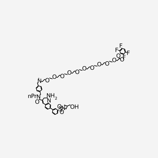 CCCN(Cc1ccc(CN(C)CCOCCOCCOCCOCCOCCOCCOCCOCCOCCOCC(=O)Oc2c(F)c(F)cc(F)c2F)cc1)C(=O)C1=Cc2ccc(-c3cccc(S(=O)(=O)N4CC(CO)C4)c3)cc2N=C(N)C1